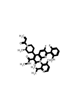 C=CC(=O)N1CCC(c2c(C(=O)NC)c(=O)n(-c3c(C)ccnc3C(C)C)c3nc(-c4c(O)cccc4F)c(F)cc23)C[C@H]1C